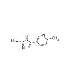 Cc1ccc(-c2cnc(C)[nH]2)cn1